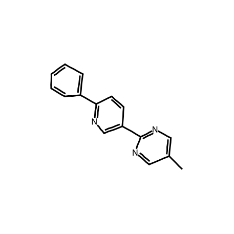 Cc1cnc(-c2ccc(-c3ccccc3)nc2)nc1